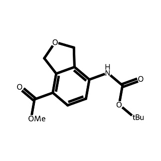 COC(=O)c1ccc(NC(=O)OC(C)(C)C)c2c1COC2